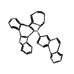 c1ccc2c(c1)ccc1cc(-n3c4ccccc4c4c5ccccc5c5sc6ccccc6c5c43)ccc12